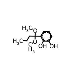 CCCC(OC)(OC)c1cccc(O)c1O